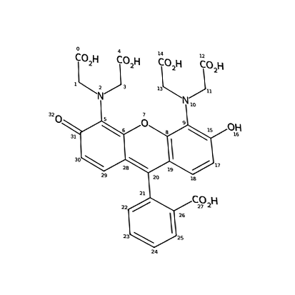 O=C(O)CN(CC(=O)O)c1c2oc3c(N(CC(=O)O)CC(=O)O)c(O)ccc3c(-c3ccccc3C(=O)O)c-2ccc1=O